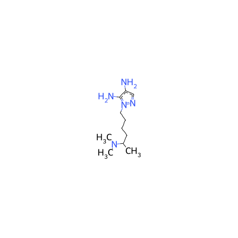 CC(CCCCn1ncc(N)c1N)N(C)C